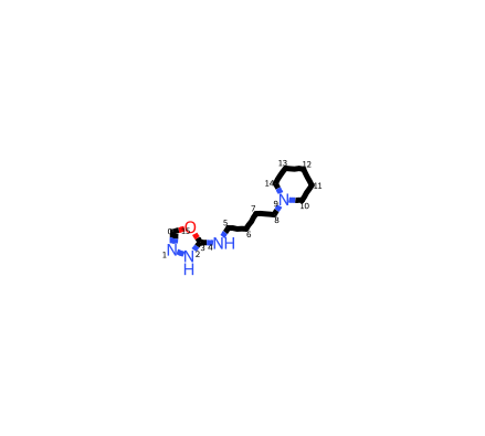 C1=NN[C](NCCCCN2CCCCC2)O1